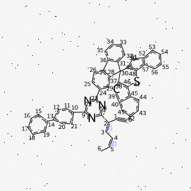 C#C/C(=C\C=C/C)c1nc(-c2ccc(-c3ccccc3)cc2)nc(-c2ccc3c(c2)C2(c4ccccc4-3)c3ccc4ccccc4c3Sc3c2ccc2ccccc32)n1